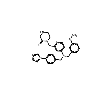 COc1cccc(CN(Cc2ccc(-n3ccnc3)cc2)c2ccnc(CN3CCNCC3=O)c2)c1